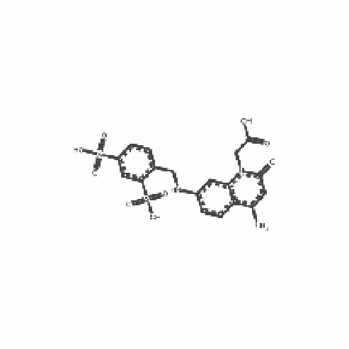 Cc1cc(=O)n(CC(=O)O)c2cc(NCc3ccc(S(=O)(=O)O)cc3S(=O)(=O)O)ccc12